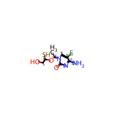 C[C@@H](OC(S)CO)n1cc(F)c(N)nc1=O